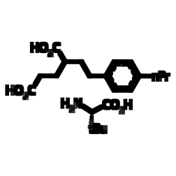 CC(C)(C)[C@H](N)C(=O)O.CCCc1ccc(CCC(CCC(=O)O)C(=O)O)cc1